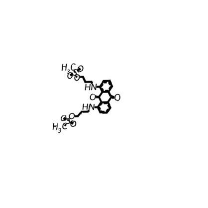 CS(=O)(=O)OCCCNc1cccc2c1C(=O)c1c(NCCCOS(C)(=O)=O)cccc1C2=O